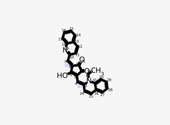 CCN1/C(=C\C2=C(O)C(=C/c3ccc4ccccc4n3)/C(=O)C2=O)C=Cc2ccccc21